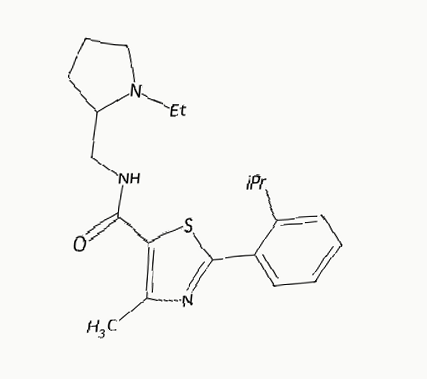 CCN1CCCC1CNC(=O)c1sc(-c2ccccc2C(C)C)nc1C